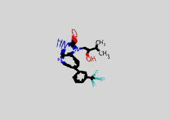 CC(C)C(O)Cn1c(=O)[nH]c2ncc(-c3cccc(C(F)(F)F)c3)cc21